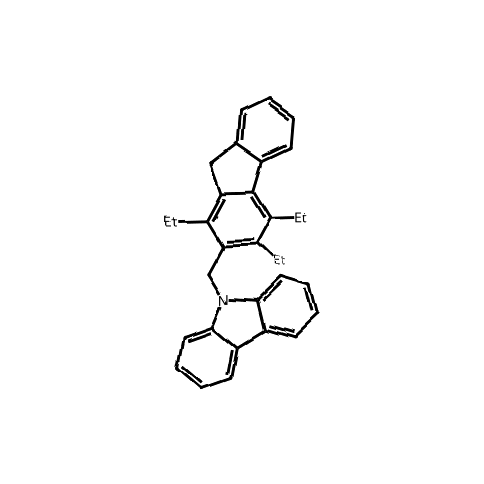 CCc1c(Cn2c3ccccc3c3ccccc32)c(CC)c2c(c1CC)-c1ccccc1C2